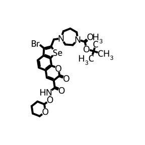 CC(C)(C)OC(=O)N1CCCN(Cc2[se]c3c(ccc4cc(C(=O)NOC5CCCCO5)c(=O)oc43)c2Br)CC1